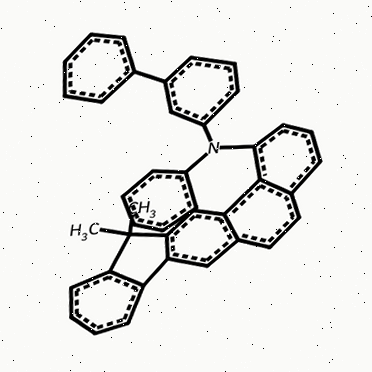 CC1(C)c2ccccc2-c2cc3ccc4cccc(N(c5ccccc5)c5cccc(-c6ccccc6)c5)c4c3cc21